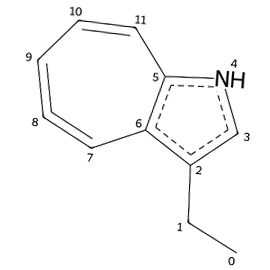 CCc1c[nH]c2c1C=C=CC=C2